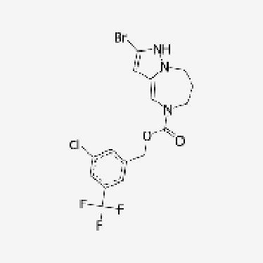 O=C(OCc1cc(Cl)cc(C(F)(F)F)c1)N1C=C2C=C(Br)NN2CCC1